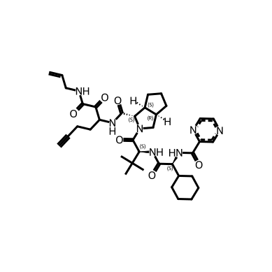 C#CCCC(NC(=O)[C@@H]1[C@H]2CCC[C@H]2CN1C(=O)[C@@H](NC(=O)[C@@H](NC(=O)c1cnccn1)C1CCCCC1)C(C)(C)C)C(=O)C(=O)NCC=C